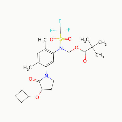 Cc1cc(C)c(N(COC(=O)C(C)(C)C)S(=O)(=O)C(F)(F)F)cc1N1CCC(OC2CCC2)C1=O